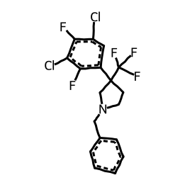 Fc1c(Cl)cc(C2(C(F)(F)F)CCN(Cc3ccccc3)C2)c(F)c1Cl